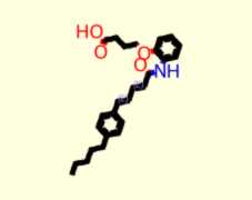 CCCCCc1ccc(/C=C/C=C/C(=O)Nc2ccccc2OCCCC(=O)O)cc1